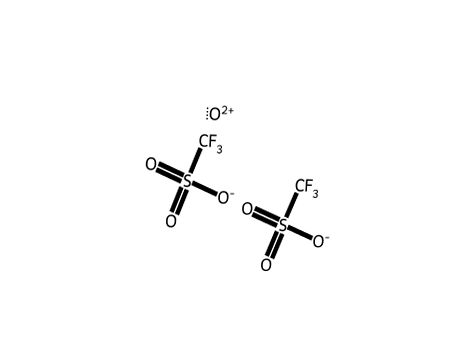 O=S(=O)([O-])C(F)(F)F.O=S(=O)([O-])C(F)(F)F.[O+2]